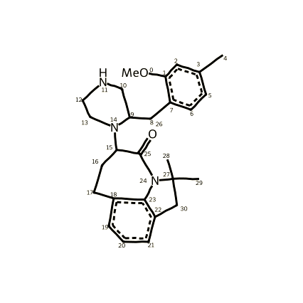 COc1cc(C)ccc1CC1CNCCN1C1CCc2cccc3c2N(C1=O)C(C)(C)C3